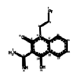 CC(C)CCn1c(=O)c(C(=N)N)c(O)c2ccccc21